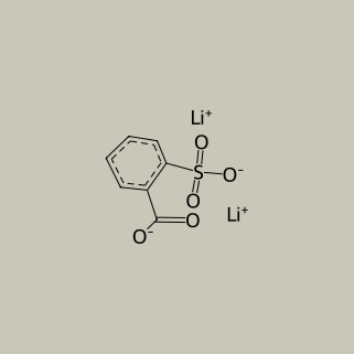 O=C([O-])c1ccccc1S(=O)(=O)[O-].[Li+].[Li+]